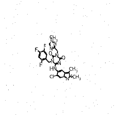 Cc1c2cc(Nc3nc(=O)n(Cc4ncn(C)n4)c(=O)n3Cc3cc(F)c(F)cc3F)c(Cl)cc2nn1C